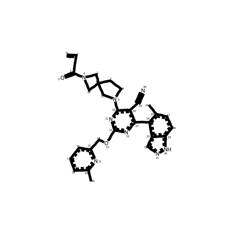 C=CC(=O)N1CC2(CCN(c3nc(OCc4cccc(C)n4)nc(-c4c(C)ccc5[nH]ncc45)c3C#N)C2)C1